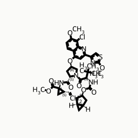 C=C[C@@H]1C[C@]1(NC(=O)[C@@H]1C[C@@H](Oc2cc(-c3csc(OC)n3)nc3c(Cl)c(OC)ccc23)CN1C(=O)[C@@H](NC(=O)O[C@@H]1C[C@@H]2C[C@@H]2C1)C(C)(C)C)C(=O)OC